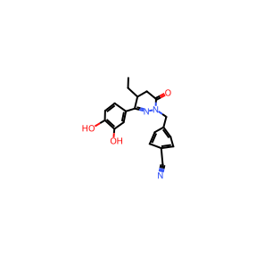 CCC1CC(=O)N(Cc2ccc(C#N)cc2)N=C1c1ccc(O)c(O)c1